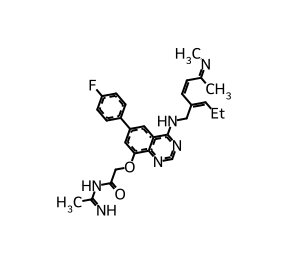 CC/C=C(/C=C\C(C)=N/C)CNc1ncnc2c(OCC(=O)NC(C)=N)cc(-c3ccc(F)cc3)cc12